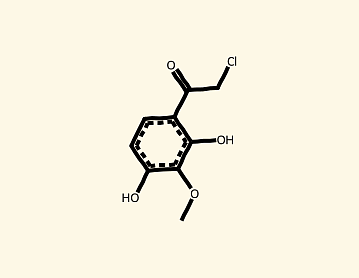 COc1c(O)ccc(C(=O)CCl)c1O